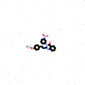 COc1ccc(C=Cc2nc3ccccc3c(=O)n2-c2cccc([N+](=O)[O-])c2)cc1